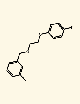 Cc1cccc(COCCOc2ccc(F)cc2)c1